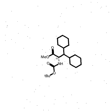 COC(=O)[C@@H](NC(=O)OC(C)(C)C)C(C1CCCCC1)C1CCCCC1